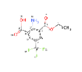 CCOC(=O)c1cc(C(F)(F)F)cc(C(=O)O)c1N